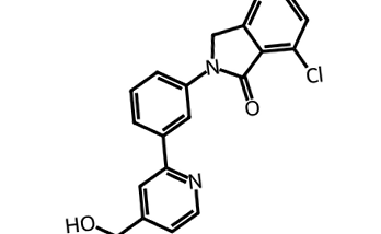 O=C1c2c(Cl)cccc2CN1c1cccc(-c2cc(CO)ccn2)c1